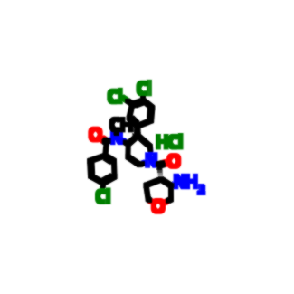 CN(C(=O)c1ccc(Cl)cc1)C1CCN(C(=O)[C@H]2CCOC[C@H]2N)CC1c1ccc(Cl)c(Cl)c1.Cl